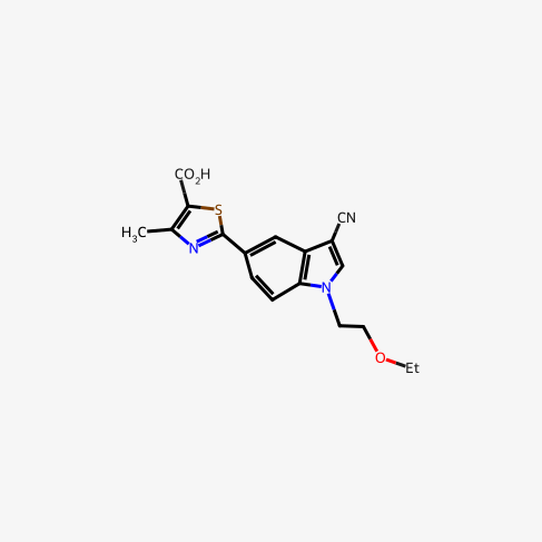 CCOCCn1cc(C#N)c2cc(-c3nc(C)c(C(=O)O)s3)ccc21